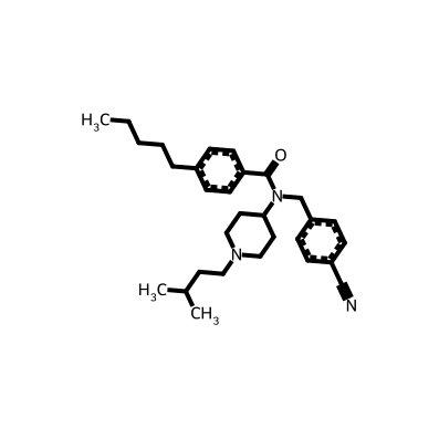 CCCCCc1ccc(C(=O)N(Cc2ccc(C#N)cc2)C2CCN(CCC(C)C)CC2)cc1